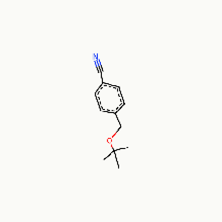 CC(C)(C)OCc1ccc(C#N)cc1